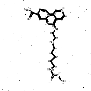 COC(=O)c1ccc2c(c1)nc(NCCOCCCCCNC(=O)OC(C)(C)C)c1ccncc12